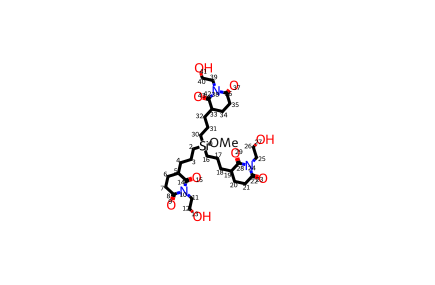 CO[Si](CCCC1CCC(=O)N(CCO)C1=O)(CCCC1CCC(=O)N(CCO)C1=O)CCCC1CCC(=O)N(CCO)C1=O